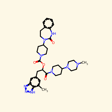 Cc1cc(CC(OC(=O)N2CCC(N3CCc4ccccc4NC3=O)CC2)C(=O)N2CCC(N3CCN(C)CC3)CC2)cc2nn[nH]c12